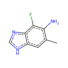 Cc1cc2[nH]cnc2c(F)c1N